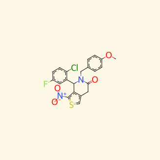 COc1ccc(CN2C(=O)Cc3csc([N+](=O)[O-])c3C2c2cc(F)ccc2Cl)cc1